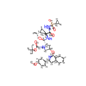 C=C[C@@H]1C[C@]1(NC(=O)[C@@H]1C[C@@H](Oc2nc(-c3ccc(OC)cc3)cc3ccccc23)CN1C(=O)OC(C)(C)C)C(=O)NS(=O)(=O)C1CC1